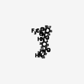 O=C(c1ccc(NC(=O)N(OC(=O)C(F)(F)F)c2ccccc2)cc1)N1CCNCC1